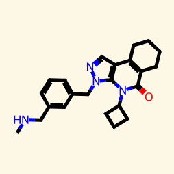 CNCc1cccc(Cn2ncc3c4c(c(=O)n(C5CCC5)c32)CCCC4)c1